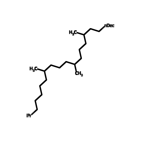 CCCCCCCCCCCCC(C)CCCC(C)CCCC(C)CCCCCC(C)C